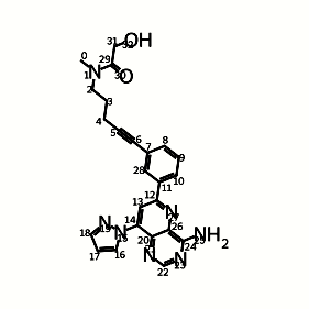 CN(CCCC#Cc1cccc(-c2cc(-n3cccn3)c3ncnc(N)c3n2)c1)C(=O)CO